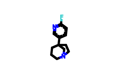 Fc1ccc(C23CCCN(CC2)C3)cn1